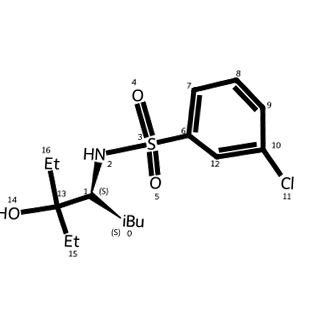 CC[C@H](C)[C@H](NS(=O)(=O)c1cccc(Cl)c1)C(O)(CC)CC